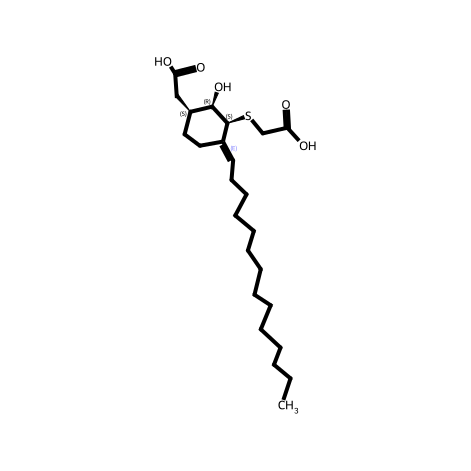 CCCCCCCCCCCCC/C=C1\CC[C@@H](CC(=O)O)[C@@H](O)[C@H]1SCC(=O)O